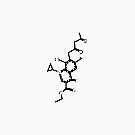 CCOC(=O)c1cn(C2CC2)c2c(Cl)c(CC(=O)CC(C)=O)c(F)cc2c1=O